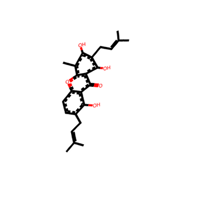 CC(C)=CCc1ccc2oc3c(C)c(O)c(CC=C(C)C)c(O)c3c(=O)c2c1O